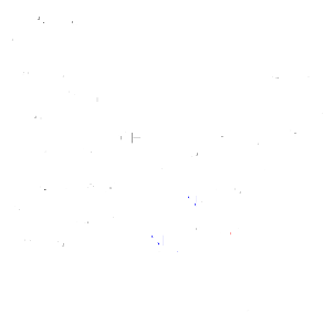 Cc1cc(N(COc2ccccc2)c2ccc(-c3ccccc3)cc2)c(N)cc1C(c1ccccc1)c1ccc(-c2ccccc2)cc1